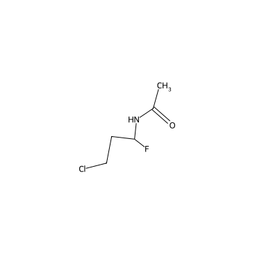 CC(=O)NC(F)CCCl